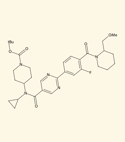 COCC1CCCCN1C(=O)c1ccc(-c2ncc(C(=O)N(C3CC3)C3CCN(C(=O)OC(C)(C)C)CC3)cn2)cc1F